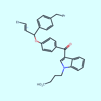 CC/C=C/C(Oc1ccc(C(=O)c2cn(CCCC(=O)O)c3ccccc23)cc1)c1ccc(CC(C)C)cc1